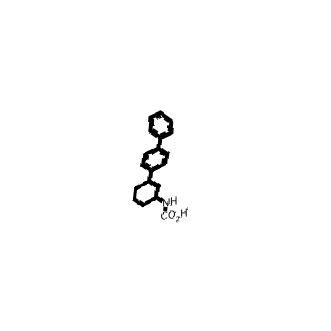 O=C(O)NC1CCCC(c2ccc(-c3ccccc3)cc2)C1